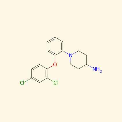 NC1CCN(c2ccccc2Oc2ccc(Cl)cc2Cl)CC1